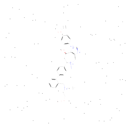 COc1ccc(-n2cnc3c2C(=O)CC(c2ccc(-c4ccccc4CN(C)CCO)cc2)NC3)cc1